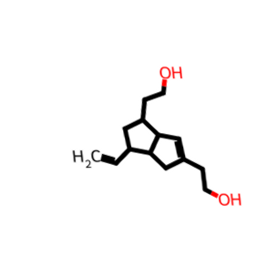 C=CC1CC(CCO)C2C=C(CCO)CC12